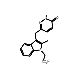 Cc1c(Cc2ccc(=O)[nH]n2)c2ccccc2n1CC(=O)O